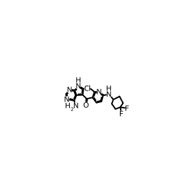 Nc1ncnc2[nH]cc(C(=O)c3ccc(NC4CCC(F)(F)CC4)nc3Cl)c12